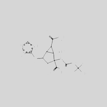 CC(C)(C)OC(=O)NC1(C(=O)O)CC(Sc2nnc[nH]2)C2C(C(=O)O)[C@H]21